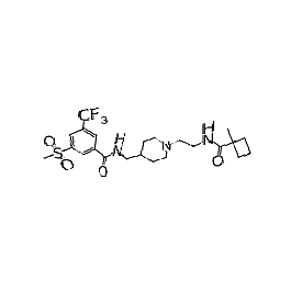 CC1(C(=O)NCCN2CCC(CNC(=O)c3cc(C(F)(F)F)cc(S(C)(=O)=O)c3)CC2)CCC1